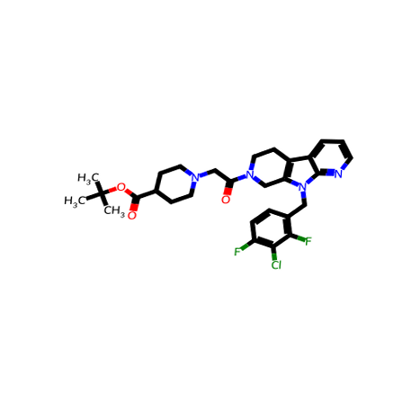 CC(C)(C)OC(=O)C1CCN(CC(=O)N2CCc3c(n(Cc4ccc(F)c(Cl)c4F)c4ncccc34)C2)CC1